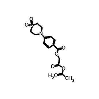 C=C(C)OC(=O)COC(=O)c1ccc(N2CCS(=O)(=O)CC2)cc1